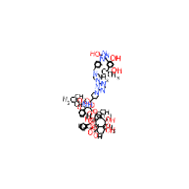 CC(=O)O[C@@]12CO[C@@H]1C[C@H](O)[C@@]1(C)C(=O)[C@H](O)C3=C(C)[C@@H](OC(=O)[C@H](OC(=O)C4CCN(c5ncnc(N6CCN(Cc7ccc(-n8c(O)nnc8-c8cc(C(C)C)c(O)cc8O)cc7)CC6)n5)CC4)[C@@H](NC(=O)OC(C)(C)C)c4ccccc4)C[C@@](O)([C@@H](OC(=O)c4ccccc4)[C@H]21)C3(C)C